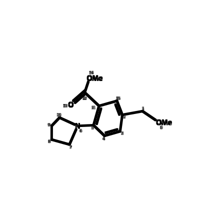 COCc1ccc(N2CCCC2)c(C(=O)OC)c1